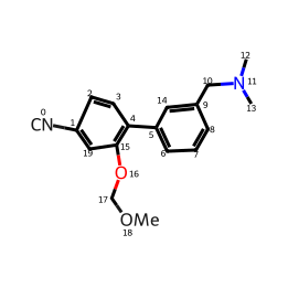 [C-]#[N+]c1ccc(-c2cccc(CN(C)C)c2)c(OCOC)c1